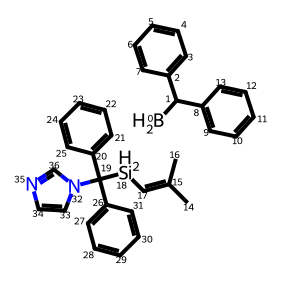 BC(c1ccccc1)c1ccccc1.CC(C)=C[SiH2]C(c1ccccc1)(c1ccccc1)n1ccnc1